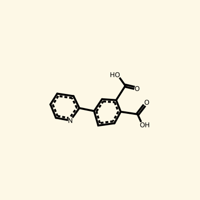 O=C(O)c1ccc(-c2ccccn2)cc1C(=O)O